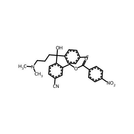 CN(C)CCCC(O)(c1ccc(F)cc1)c1ccc(C#N)cc1COC(=O)c1ccc([N+](=O)[O-])cc1